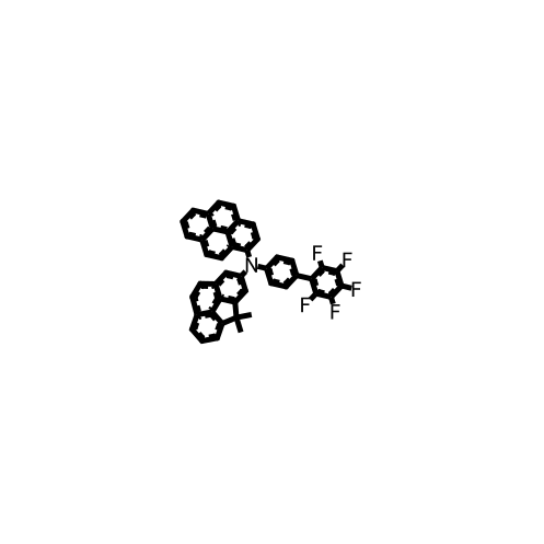 CC1(C)c2cccc3ccc4cc(N(c5ccc(-c6c(F)c(F)c(F)c(F)c6F)cc5)c5ccc6ccc7cccc8ccc5c6c78)cc1c4c23